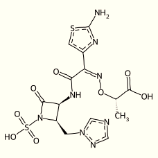 C[C@H](ON=C(C(=O)N[C@@H]1C(=O)N(S(=O)(=O)O)[C@@H]1Cn1cncn1)c1csc(N)n1)C(=O)O